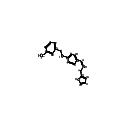 Cc1cccc(COc2ccc(/C=N\Cc3ccco3)cc2)c1